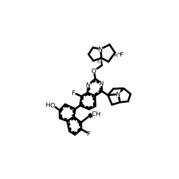 C#Cc1c(F)ccc2cc(O)cc(-c3ccc4c(C56CC7CCC(C5)N76)nc(OC[C@@]56CCCN5C[C@H](F)C6)nc4c3F)c12